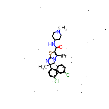 CC(C)C1=C(C(=O)NC2CCN(C)CC2)SC2=N[C@@](C)(c3ccc(Cl)cc3)[C@@H](c3ccc(Cl)cc3)N21